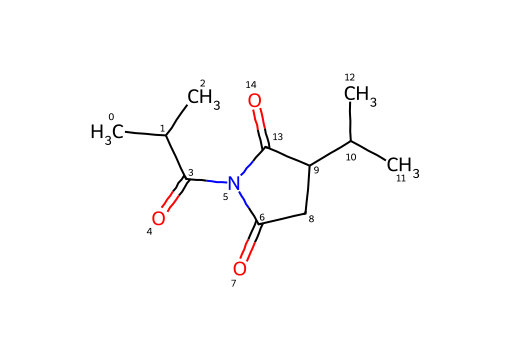 CC(C)C(=O)N1C(=O)CC(C(C)C)C1=O